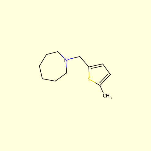 Cc1ccc(CN2CCCCCC2)s1